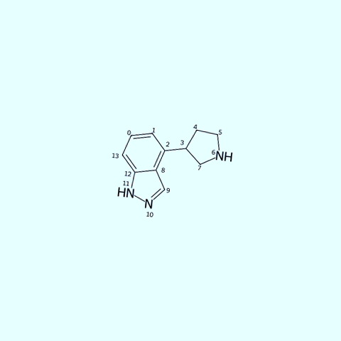 c1cc(C2CCNC2)c2cn[nH]c2c1